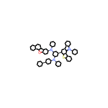 c1ccc(-c2ccc(N(c3ccccc3)c3cc(-c4cc5c6ccccc6n(-c6ccccc6)c5c5c4sc4ccccc45)cc(N(c4ccccc4)c4ccc5oc6c7ccccc7ccc6c5c4)c3)cc2)cc1